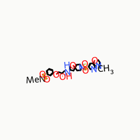 CNS(=O)(=O)c1cccc(OC[C@@H](O)CN[C@H]2COC3(CCN(S(=O)(=O)c4cnc5c(c4)OCCN5C)CC3)C2)c1